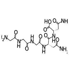 NCC(=O)NCC(=O)NCC(=O)N[C@@H](CC(N)=O)C(=O)N[C@@H](CC(N)=O)C(=O)O